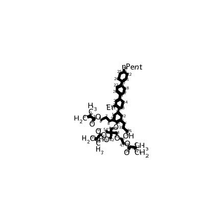 C=C(C)C(=O)OCCCc1cc(-c2ccc(-c3ccc(C4CCC(CCCCC)CC4)cc3)cc2CC)cc(CCCO)c1OCC(CO)(COCCOC(=O)C(=C)C)COC(=O)C(=C)C